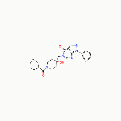 O=C(C1CCCCC1)N1CCC(O)(Cn2cnc3c(cnn3-c3ccccc3)c2=O)CC1